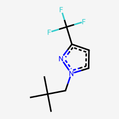 CC(C)(C)Cn1ccc(C(F)(F)F)n1